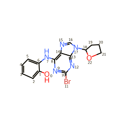 Oc1ccccc1Nc1nc(Br)nc2c1ncn2C1CCCO1